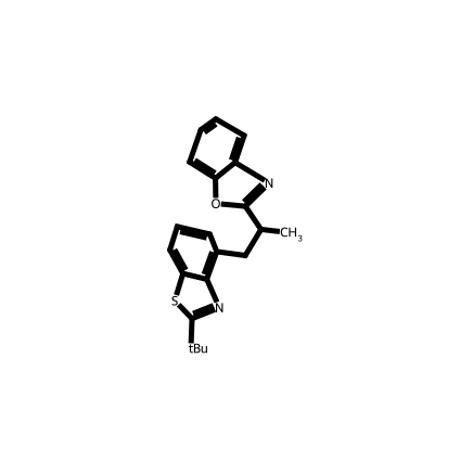 CC(Cc1cccc2sc(C(C)(C)C)nc12)c1nc2ccccc2o1